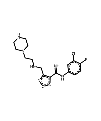 N=C(Nc1ccc(F)c(Cl)c1)c1nonc1CNCCN1CCNCC1